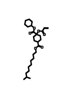 C=CC(=O)OC1(C(=O)OC2CCCCC2)CCC(C(=O)OCCCCCCCCC(C)C)CC1